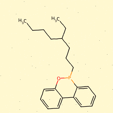 CCCCC(CC)CCCP1Oc2ccccc2-c2ccccc21